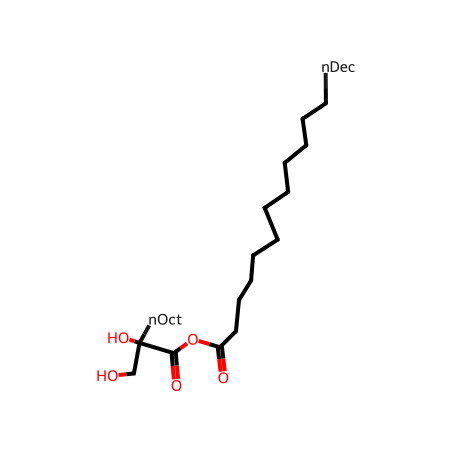 CCCCCCCCCCCCCCCCCCCCCC(=O)OC(=O)C(O)(CO)CCCCCCCC